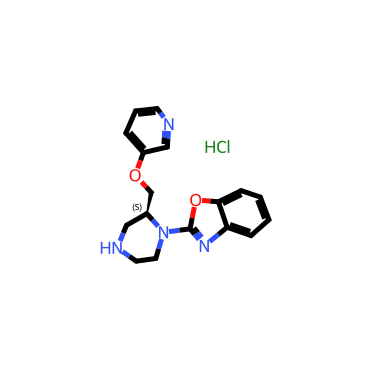 Cl.c1cncc(OC[C@@H]2CNCCN2c2nc3ccccc3o2)c1